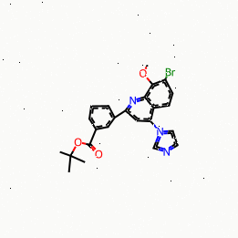 COc1c(Br)ccc2c(-n3ccnc3)cc(-c3cccc(C(=O)OC(C)(C)C)c3)nc12